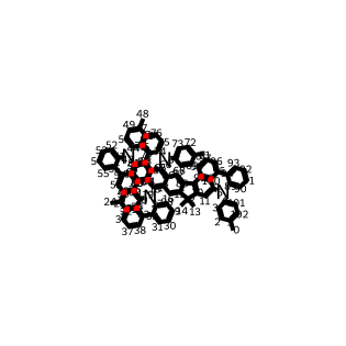 Cc1ccc(N(c2ccc3c(c2)C(C)(C)c2cc4c(N(c5ccc(C)cc5)c5ccccc5-c5ccccc5)c5ccc(N(c6ccc(C)cc6)c6ccccc6-c6ccccc6)cc5c(N(c5ccc(C)cc5)c5ccccc5-c5ccccc5)c4cc2-3)c2ccccc2-c2ccccc2)cc1